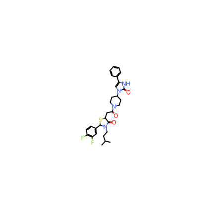 CC(C)CCN1C(=O)C(CC(=O)N2CCC(n3cc(-c4ccccc4)[nH]c3=O)CC2)SC1c1ccc(F)c(F)c1